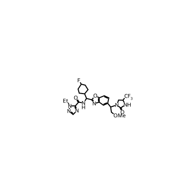 CCn1ncnc1C(=O)NC(c1nc2cc(C(COC)N3CC(C(F)(F)F)NC3=O)ccc2o1)C1CCC(F)CC1